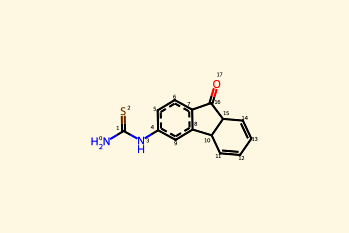 NC(=S)Nc1ccc2c(c1)C1C=CC=CC1C2=O